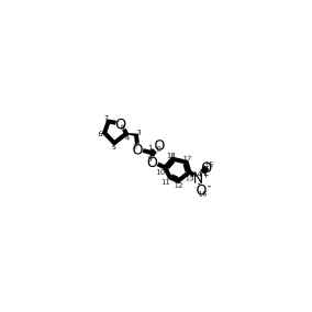 O=C(OC[C@H]1CCCO1)Oc1ccc([N+](=O)[O-])cc1